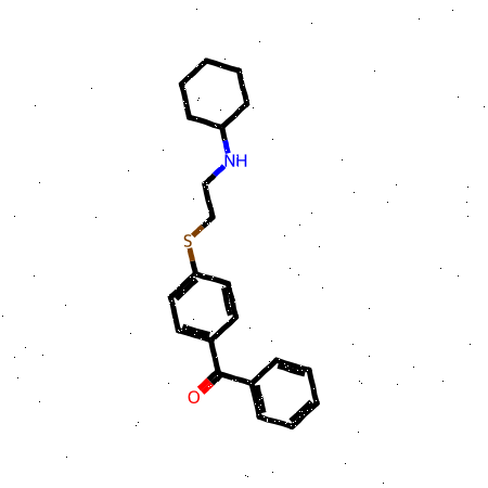 O=C(c1ccccc1)c1ccc(SCCNC2CCCCC2)cc1